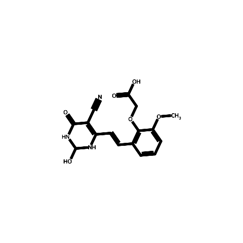 COc1cccc(/C=C/C2=C(C#N)C(=O)NC(O)N2)c1OCC(=O)O